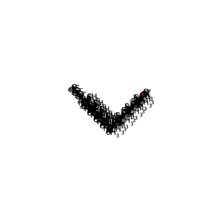 CB(C)C[N+]1(F)C(F)=C(F)N(C)C1(C)F.CB(C)C[N+]1(F)C(F)=C(F)N(C)C1(C)F.CB(C)C[N+]1(F)C(F)=C(F)N(C)C1(C)F.CB(C)C[N+]1(F)C(F)=C(F)N(C)C1(C)F.CB(C)C[N+]1(F)C(F)=C(F)N(C)C1(C)F.CB(C)C[N+]1(F)C(F)=C(F)N(C)C1(C)F.CB(C)C[N+]1(F)C(F)=C(F)N(C)C1(C)F.CB(C)C[N+]1(F)C(F)=C(F)N(C)C1(C)F.[O-]B([O-])F.[O-]B([O-])F.[O-]B([O-])F.[O-]B([O-])F